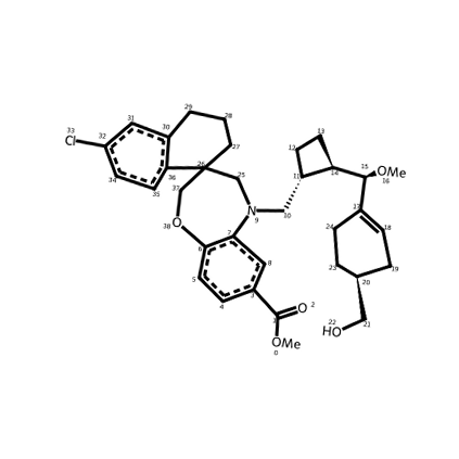 COC(=O)c1ccc2c(c1)N(C[C@@H]1CC[C@H]1[C@@H](OC)C1=CC[C@@H](CO)CC1)CC1(CCCc3cc(Cl)ccc31)CO2